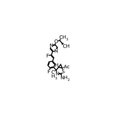 C#CC(C)Oc1cnc(/C(F)=C/c2ccc(F)c([C@@]3(C)N=C(N)S[C@@]4(C(C)=O)C[C@H]43)c2)cn1